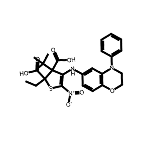 CCC1(C(=O)O)SC([N+](=O)[O-])=C(Nc2ccc3c(c2)N(c2ccccc2)CCO3)C1(C(=O)O)C(C)(C)C